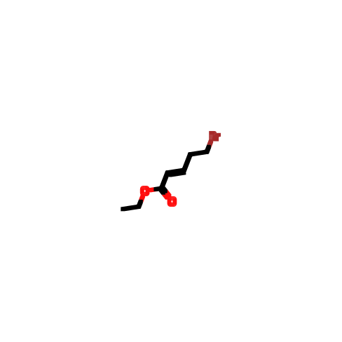 CCOC(=O)/C=C/CCBr